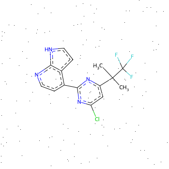 CC(C)(c1cc(Cl)nc(-c2ccnc3[nH]ccc23)n1)C(F)(F)F